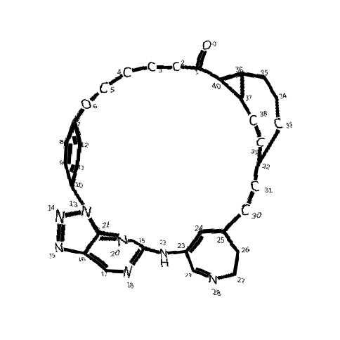 O=C1CCCCOc2ccc(cc2)-n2nnc3cnc(nc32)NC2=CC(CCN=C2)CCC2CCCC3C(CC2)C13